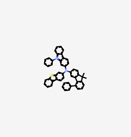 CC1(C)c2ccc(N(c3ccc4c(c3)sc3ccccc34)c3ccc4c5ccccc5n(-c5ccccc5)c4c3)cc2-c2c(-c3ccccc3)cccc21